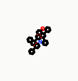 c1ccc(-c2ccc(N(c3ccccc3-c3cc4c5c(cccc5c3)Oc3ccccc3-4)c3ccccc3-c3cccc4ccccc34)cc2)cc1